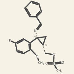 COc1ccc(F)cc1[C@@]1(N=Cc2ccccc2)C[C@@H]1COS(C)(=O)=O